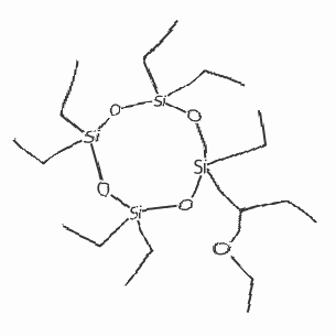 CCOC(CC)[Si]1(CC)O[Si](CC)(CC)O[Si](CC)(CC)O[Si](CC)(CC)O1